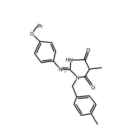 Cc1ccc(CN2C(=O)C(C)C(=O)N/C2=N\c2ccc(OC(C)C)cc2)cc1